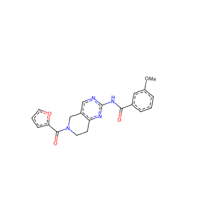 COc1cccc(C(=O)Nc2ncc3c(n2)CCN(C(=O)c2ccco2)C3)c1